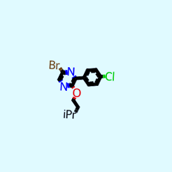 CC(C)CCOc1ncc(Br)nc1-c1ccc(Cl)cc1